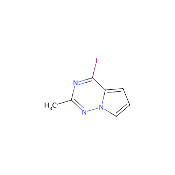 Cc1nc(I)c2cccn2n1